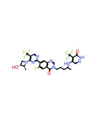 CC(CCCn1cnc2cc(-c3ncc(C(F)(F)F)c(N4C[C@@H](O)[C@@H]4C)n3)c(F)cc2c1=O)Nc1cn[nH]c(=O)c1C(F)(F)F